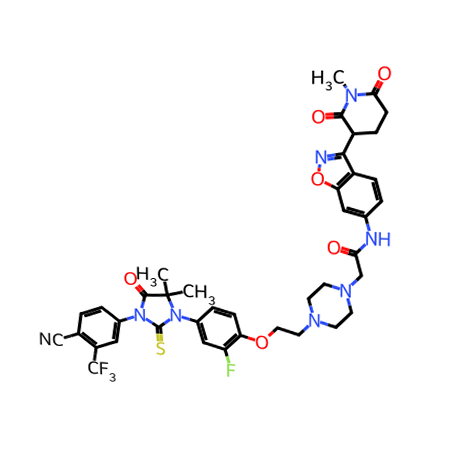 CN1C(=O)CCC(c2noc3cc(NC(=O)CN4CCN(CCOc5ccc(N6C(=S)N(c7ccc(C#N)c(C(F)(F)F)c7)C(=O)C6(C)C)cc5F)CC4)ccc23)C1=O